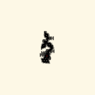 CCC(C)(C)C(=O)OC1CC(C)C=C2C=CC(C)C(CCC(O)CC(O)CC(=O)NCC[Si](C)(C)Oc3ccc(C4C(CCC(O)c5ccc(F)cc5)C(=O)N4c4ccc(F)cc4)cc3)C21